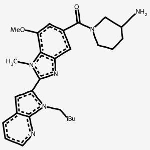 CCC(C)Cn1c(-c2nc3cc(C(=O)N4CCCC(N)C4)cc(OC)c3n2C)cc2cccnc21